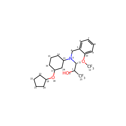 OC(CN(Cc1ccccc1OC(F)(F)F)C1CCCC(OC2CCCC2)C1)C(F)(F)F